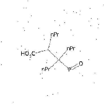 CCCC(C(=O)O)C(CCC)(CCC)P=O